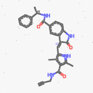 C#CCNC(=O)c1c(C)[nH]c(/C=C2\C(=O)Nc3ccc(C(=O)N[C@H](C)c4ccccc4)cc32)c1C